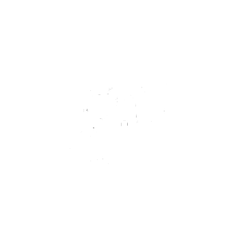 Cc1ccc2oc3c(C4=CC=CCC4)cccc3c2c1